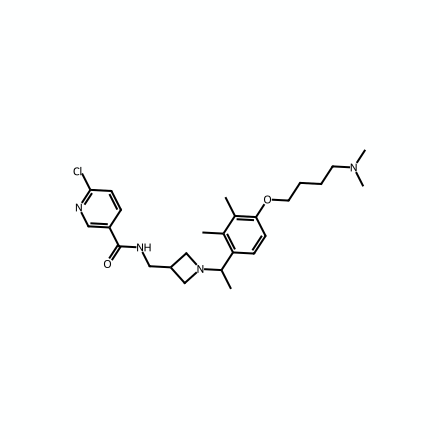 Cc1c(OCCCCN(C)C)ccc(C(C)N2CC(CNC(=O)c3ccc(Cl)nc3)C2)c1C